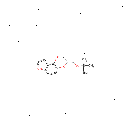 CC(C)(C)[Si](C)(C)OCC1COc2c(ccc3occc23)O1